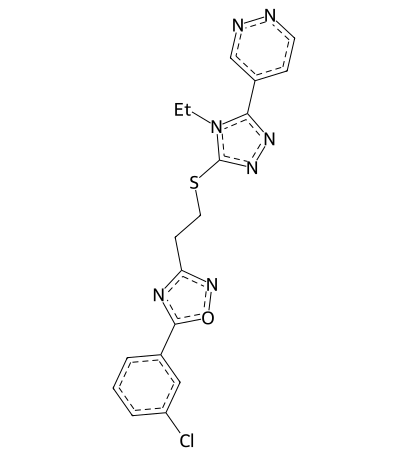 CCn1c(SCCc2noc(-c3cccc(Cl)c3)n2)nnc1-c1ccnnc1